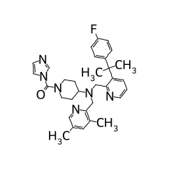 Cc1cnc(CN(Cc2ncccc2C(C)(C)c2ccc(F)cc2)C2CCN(C(=O)n3ccnc3)CC2)c(C)c1